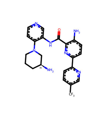 Nc1ccc(-c2ccc(C(F)(F)F)cn2)nc1C(=O)Nc1cnccc1N1CCC[C@H](N)C1